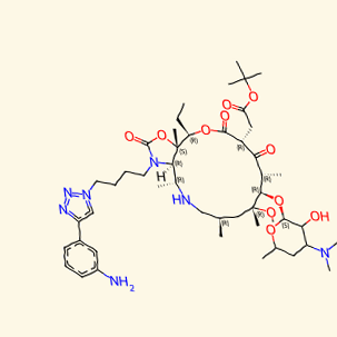 CC[C@H]1OC(=O)[C@H](CC(=O)OC(C)(C)C)C(=O)[C@H](C)[C@@H](O[C@@H]2OC(C)CC(N(C)C)C2O)[C@](C)(OC)C[C@@H](C)CN[C@H](C)[C@H]2N(CCCCn3cc(-c4cccc(N)c4)nn3)C(=O)O[C@]12C